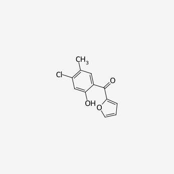 Cc1cc(C(=O)c2ccco2)c(O)cc1Cl